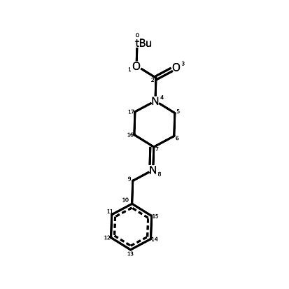 CC(C)(C)OC(=O)N1CCC(=NCc2ccccc2)CC1